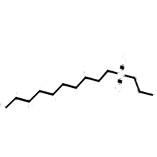 CC[CH]S(=O)(=O)CCCCCCCCCC